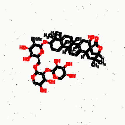 CC(=O)N[C@H]1[C@H](O[C@H]2CC[C@]3(C)[C@H]4CC=C5[C@@H]6CC(C)(C)[C@@H]7C[C@]6(C(=O)O7)[C@H](O)C[C@@]5(C)[C@]4(C)CC[C@H]3C2(C)C)O[C@H](CO[C@@H]2OC[C@H](O)[C@H](O)[C@H]2O[C@@H]2OC[C@@H](O)[C@H](O)[C@H]2O)[C@@H](O)[C@@H]1O